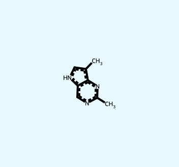 Cc1ncc2[nH]cc(C)c2n1